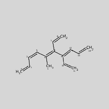 C=C\C=C/C(C)=C(C=C)/C(C=C)=C/C=C